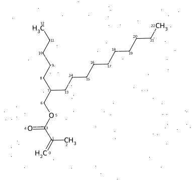 C=C(C)C(=O)OCC(CCCCC)CCCCCCCCCC